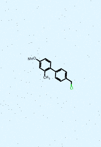 COc1ccc(-c2ccc(CCl)cc2)c(C)c1